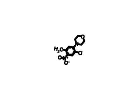 Cc1cc(N2CCOCC2)c(Cl)cc1[N+](=O)[O-]